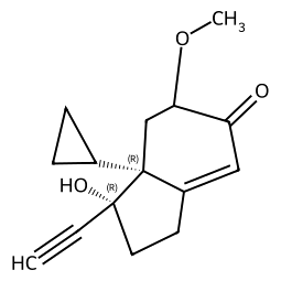 C#C[C@]1(O)CCC2=CC(=O)C(OC)C[C@@]21C1CC1